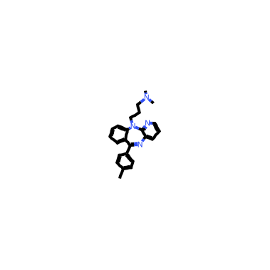 Cc1ccc(C2=Nc3cccnc3N(CCCN(C)C)c3ccccc32)cc1